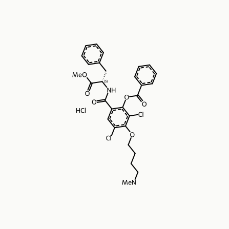 CNCCCCOc1c(Cl)cc(C(=O)N[C@@H](Cc2ccccc2)C(=O)OC)c(OC(=O)c2ccccc2)c1Cl.Cl